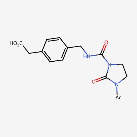 CC(=O)N1CCN(C(=O)NCc2ccc(CC(=O)O)cc2)C1=O